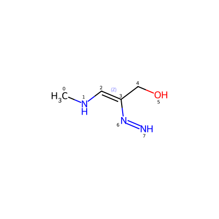 CN/C=C(/CO)N=N